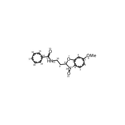 COc1ccc2c(c1)OC(CCNC(=O)c1ccccc1)[N+]2=O